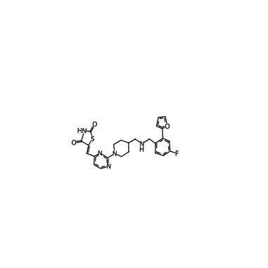 O=C1NC(=O)C(=Cc2ccnc(N3CCC(CNCc4ccc(F)cc4-c4ccco4)CC3)n2)S1